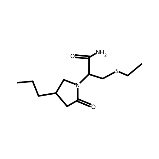 CCCC1CC(=O)N(C(CSCC)C(N)=O)C1